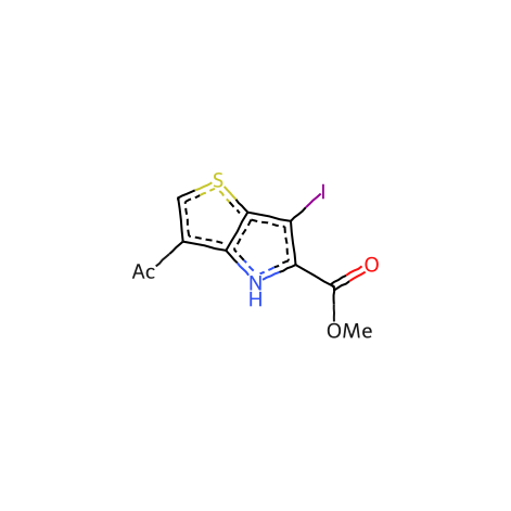 COC(=O)c1[nH]c2c(C(C)=O)csc2c1I